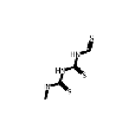 CNC(=S)NC(=S)NC=S